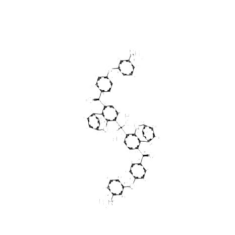 CC(C)(c1ccc(C(=O)c2ccc(Oc3cccc(N)c3)cc2)c2c1Oc1ccc-2cc1)c1ccc(C(=O)c2ccc(Oc3cccc(N)c3)cc2)c2c1Oc1ccc-2cc1